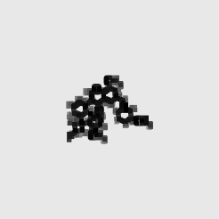 Cc1cc(CN2CCCC(C)C2)cc2c(=O)c(-c3cccc(C4(c5nncn5C)CC(F)C4)c3)coc12